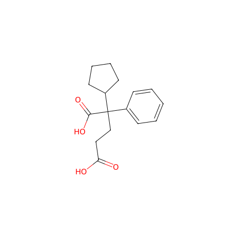 O=C(O)CCC(C(=O)O)(c1ccccc1)C1CCCC1